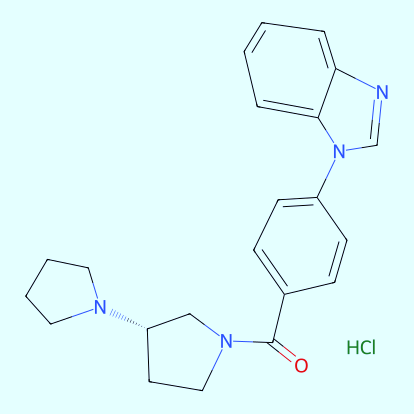 Cl.O=C(c1ccc(-n2cnc3ccccc32)cc1)N1CC[C@H](N2CCCC2)C1